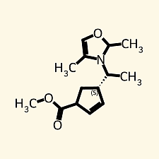 COC(=O)C1C=C[C@@H](C(C)N2C(C)=COC2C)C1